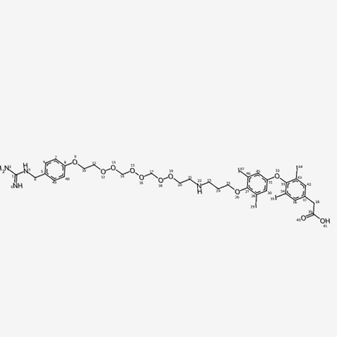 N=C(N)NCc1ccc(OCCOOCOOCOOCCNCCCOc2c(I)cc(Oc3c(I)cc(CC(=O)O)cc3I)cc2I)cc1